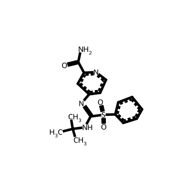 CC(C)(C)N/C(=N/c1ccnc(C(N)=O)c1)S(=O)(=O)c1ccccc1